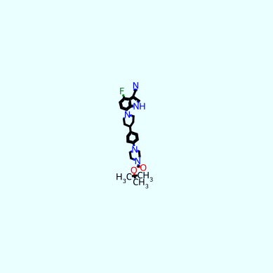 CC(C)(C)OC(=O)N1CCN(c2ccc(C3CCN(c4ccc(F)c5c(C#N)c[nH]c45)CC3)cc2)CC1